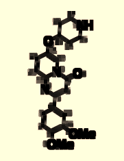 COc1ccc(-c2cc(=O)n3cc(OC4CCNCC4)ccc3n2)cc1OC